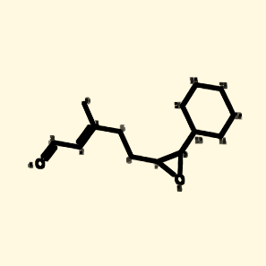 CC(=C[C]=O)CCC1OC1C1CCCCC1